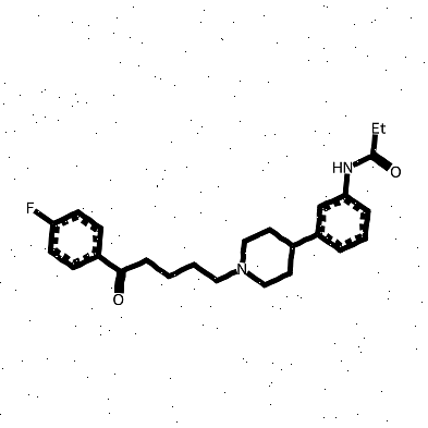 CCC(=O)Nc1cccc(C2CCN(CCCCC(=O)c3ccc(F)cc3)CC2)c1